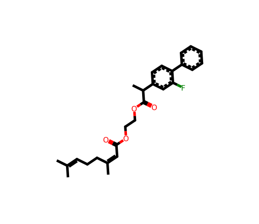 CC(C)=CCCC(C)=CC(=O)OCCOC(=O)C(C)c1ccc(-c2ccccc2)c(F)c1